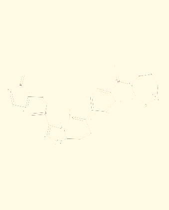 O=C1N=Cc2cc(-c3cnc4ccc(-c5ccc(C(=O)N6CCCNCC6)cc5)nn34)ccc21